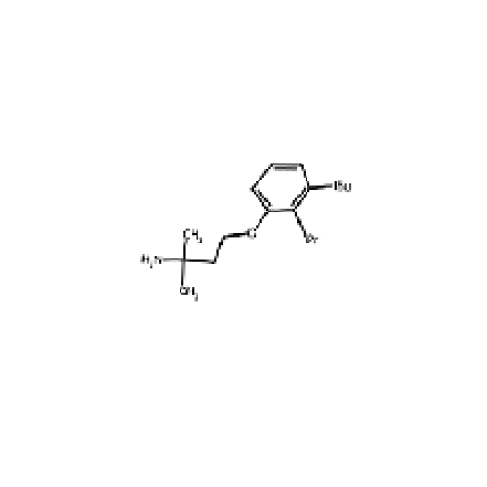 CC(C)c1c(OCCC(C)(C)N)cccc1C(C)(C)C